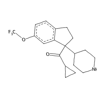 O=C(C1CC1)C1(C2CCNCC2)CCc2ccc(OC(F)(F)F)cc21